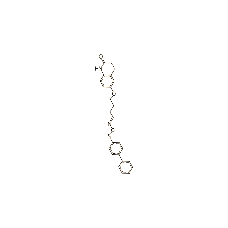 O=C1CCc2cc(OCCCC=NOSc3ccc(-c4ccccc4)cc3)ccc2N1